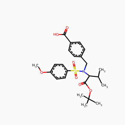 COc1ccc(S(=O)(=O)N(Cc2ccc(C(=O)O)cc2)C(C(=O)OC(C)(C)C)C(C)C)cc1